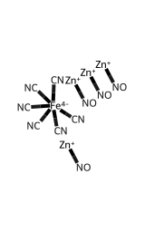 N#[C][Fe-4]([C]#N)([C]#N)([C]#N)([C]#N)[C]#N.O=[N][Zn+].O=[N][Zn+].O=[N][Zn+].O=[N][Zn+]